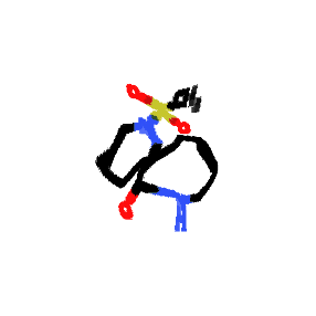 CS(=O)(=O)N1CCCC12CC=CCNC2=O